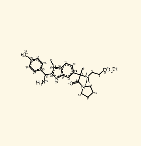 CCOC(=O)CCNC(C)(C(=O)N1CCCC1)c1ccc2c(c1)nc(C(N)c1ccc(C#N)cc1)n2C